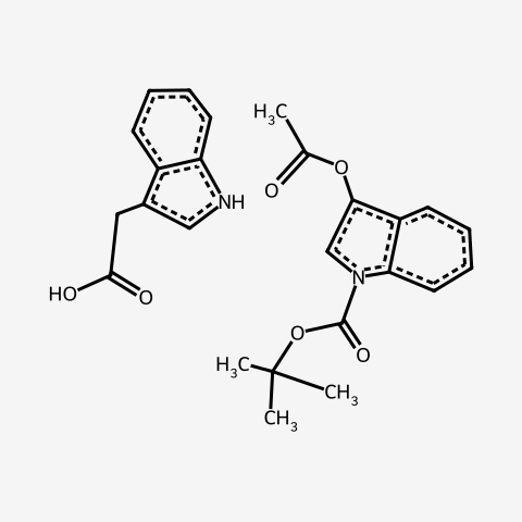 CC(=O)Oc1cn(C(=O)OC(C)(C)C)c2ccccc12.O=C(O)Cc1c[nH]c2ccccc12